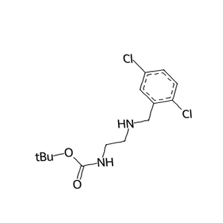 CC(C)(C)OC(=O)NCCNCc1cc(Cl)ccc1Cl